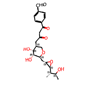 C[C@H]([C@@H]1O[C@H]1C[C@@H]1OC[C@H](CC(=O)CC(=O)c2ccc(C=O)cc2)[C@@H](O)[C@H]1O)[C@H](C)O